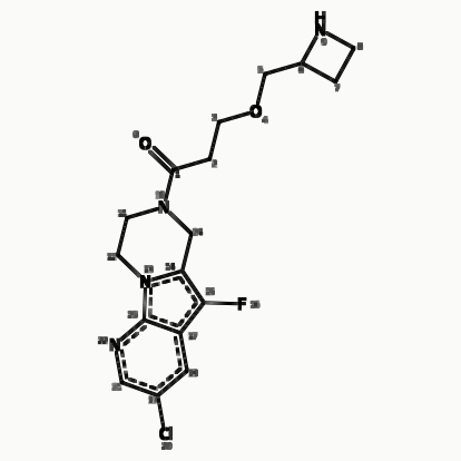 O=C(CCOCC1CCN1)N1CCn2c(c(F)c3cc(Cl)cnc32)C1